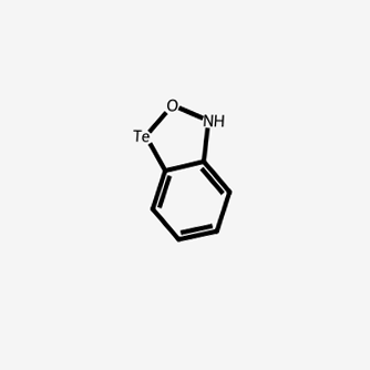 c1ccc2c(c1)NO[Te]2